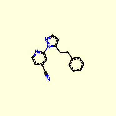 N#Cc1ccnc(-n2nccc2CCc2ccccc2)c1